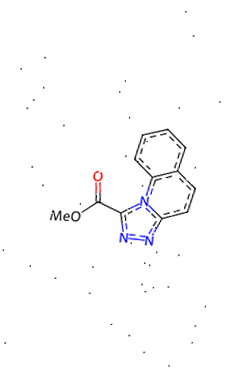 COC(=O)c1nnc2ccc3ccccc3n12